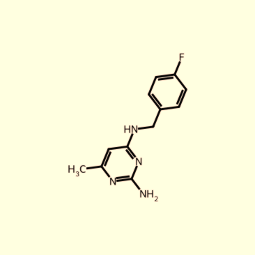 Cc1cc(NCc2ccc(F)cc2)nc(N)n1